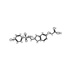 O=C(O)COc1ccc2c(c1)CC(CNS(=O)(=O)c1ccc(Cl)cc1)C2